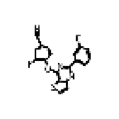 N#Cc1ccc(Oc2nc(-c3cccc(F)c3)nc3ccsc23)c(F)c1